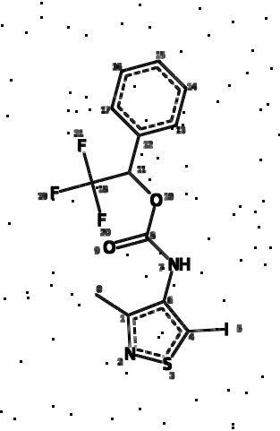 Cc1nsc(I)c1NC(=O)OC(c1ccccc1)C(F)(F)F